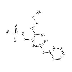 CCCOC(=O)[C@H](CCS(=O)(=O)O)NC(=O)Cc1ccccc1